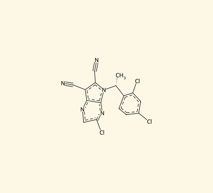 C[C@H](c1ccc(Cl)cc1Cl)n1c(C#N)c(C#N)c2ncc(Cl)nc21